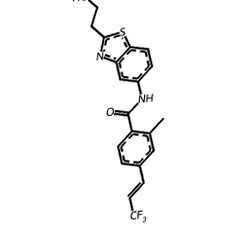 Cc1cc(/C=C/C(F)(F)F)ccc1C(=O)Nc1ccc2sc(CCO)nc2c1